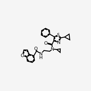 O=C(NCCN(C(=O)c1nc(C2CC2)sc1-c1ccccc1)C1CC1)c1cccc2occc12